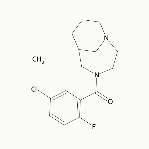 O=C(c1cc(Cl)ccc1F)N1CCN2CCCC(C2)C1.[CH2]